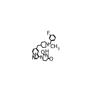 CC(c1cccc(F)c1)N1CCC(Cc2ccn3ncc(N4CCC(=O)NC4=O)c3c2)CC1